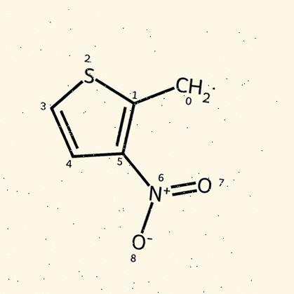 [CH2]c1sccc1[N+](=O)[O-]